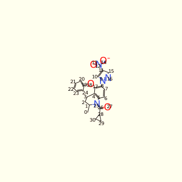 CC1CCc2c(ccc(-n3cc([N+](=O)[O-])cn3)c2Oc2ccccc2)N1C(=O)C1CC1